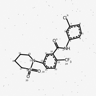 O=C(Nc1cccc(Cl)c1)c1cc(N2CCCCS2(=O)=O)ccc1C(F)(F)F